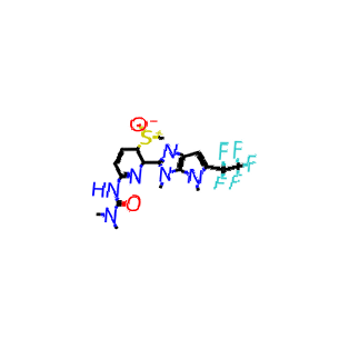 CN(C)C(=O)NC1=NC(c2nc3cc(C(F)(F)C(F)(F)F)n(C)c3n2C)C([S+](C)[O-])C=C1